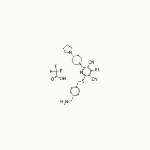 CCc1c(C#N)c(SCc2ccc(CN)cc2)nc(N2CCC(N3CCCC3)CC2)c1C#N.O=C(O)C(F)(F)F